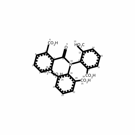 O=C(O)c1cccc(C(=O)O)c1C(=O)N(c1c(C(=O)O)cccc1C(=O)O)c1c(C(=O)O)cccc1C(=O)O